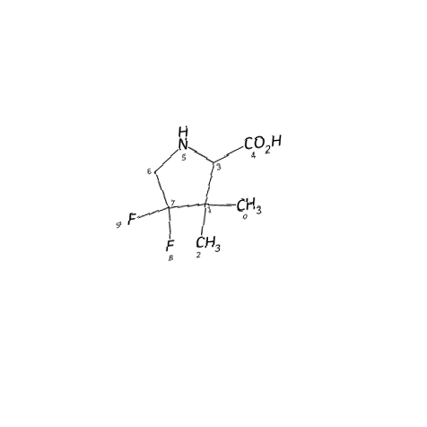 CC1(C)C(C(=O)O)NCC1(F)F